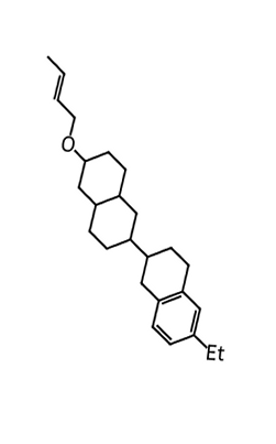 CC=CCOC1CCC2CC(C3CCc4cc(CC)ccc4C3)CCC2C1